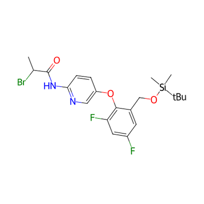 CC(Br)C(=O)Nc1ccc(Oc2c(F)cc(F)cc2CO[Si](C)(C)C(C)(C)C)cn1